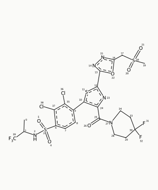 CC(NS(=O)(=O)c1ccc(-c2sc(-c3nnc(CS(C)(=O)=O)o3)nc2C(=O)N2CCC(F)(F)CC2)c(Cl)c1Cl)C(F)(F)F